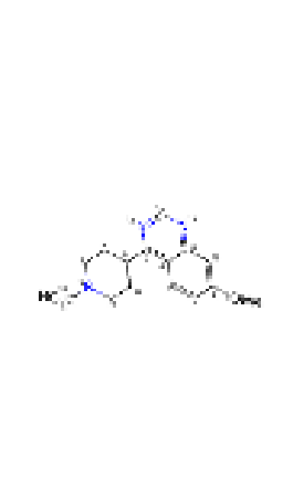 COc1ccc2c(C3CCN(C(=O)O)CC3)ncnc2c1